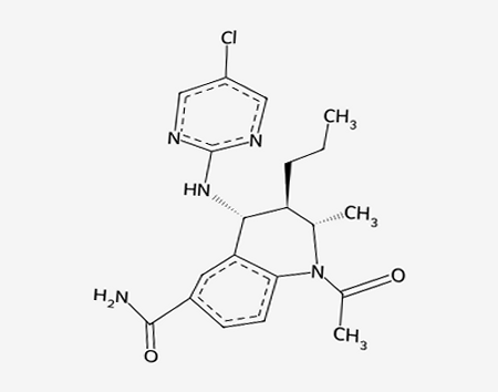 CCC[C@@H]1[C@@H](Nc2ncc(Cl)cn2)c2cc(C(N)=O)ccc2N(C(C)=O)[C@H]1C